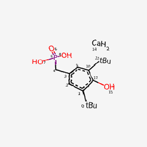 CC(C)(C)c1cc(CP(=O)(O)O)cc(C(C)(C)C)c1O.[CaH2]